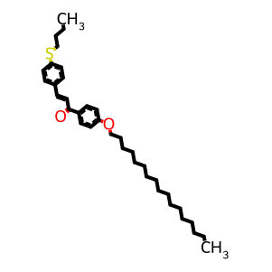 CCCCCCCCCCCCCCCCCOc1ccc(C(=O)C=Cc2ccc(SCCCC)cc2)cc1